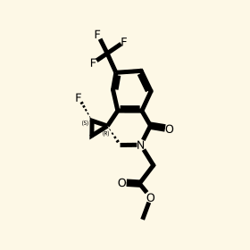 COC(=O)CN1C[C@@]2(C[C@@H]2F)c2cc(C(F)(F)F)ccc2C1=O